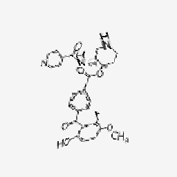 COc1ccc(O)c(C(=O)c2ccc(C(=O)O[C@@H]3CCNC[C@H]3NC(=O)c3ccncc3)cc2)c1F